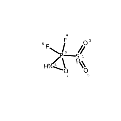 O=[SH](=O)P1(F)(F)NO1